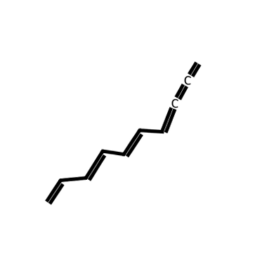 C=C=C=CC=CC=CC=C